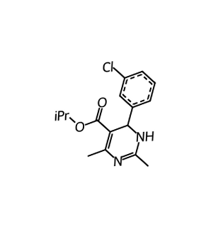 CC1=NC(C)=C(C(=O)OC(C)C)C(c2cccc(Cl)c2)N1